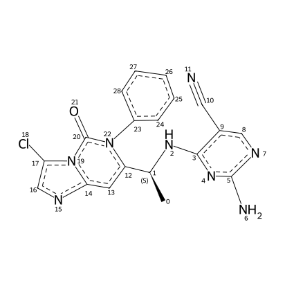 C[C@H](Nc1nc(N)ncc1C#N)c1cc2ncc(Cl)n2c(=O)n1-c1ccccc1